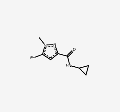 CC(C)c1cc(C(=O)NC2CC2)nn1C